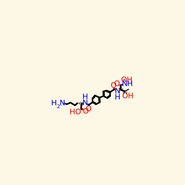 C[C@@H](O)[C@H](NC(=O)c1ccc(-c2ccc(C(=O)N[C@@H](CCCCN)C(=O)O)cc2)cc1)C(=O)NO